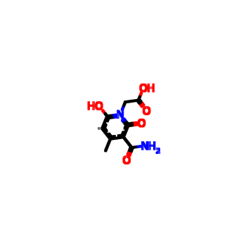 Cc1[c]c(O)n(CC(=O)O)c(=O)c1C(N)=O